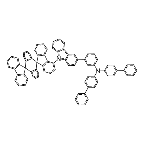 c1ccc(-c2ccc(N(c3ccc(-c4ccccc4)cc3)c3cccc(-c4ccc5c(c4)c4ccccc4n5-c4cccc5c4-c4ccccc4C54c5ccccc5C5(c6ccccc6-c6ccccc65)c5ccccc54)c3)cc2)cc1